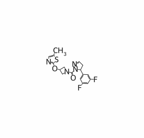 Cc1cnc(OC2CN(C(=O)N3N=CCC3c3cc(F)cc(F)c3)C2)s1